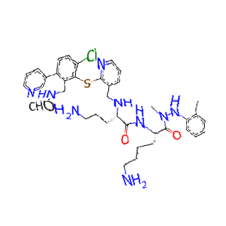 Cc1ccccc1NN(C)C(=O)[C@H](CCCCN)NC(=O)[C@H](CCCN)NCc1cccnc1Sc1c(Cl)ccc(-c2cccnc2)c1CNC=O